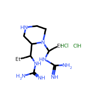 CCC(NC(=N)N)C1CNCCN1C(CC)NC(=N)N.Cl.Cl